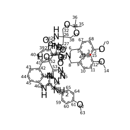 COc1ccc(CN(Cc2ccc(OC)cc2)S(=O)(=O)c2c(S(=O)(=O)NC3(CNC(=O)O)COC(C)(C)OC3)ccc(-c3cccc4[nH]c(N)nc34)c2-c2nnn(Cc3ccc(OC)cc3)n2)cc1